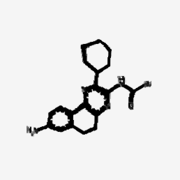 CCC(C)C(=O)Nc1nc2c(nc1C1CCCCC1)-c1ccc(N)cc1CC2